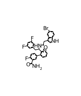 NC(=O)c1cc(-c2cccnc2C(Cc2cc(F)cc(F)c2)NC(=O)Cc2c[nH]c3ccc(Br)cc23)ccc1F